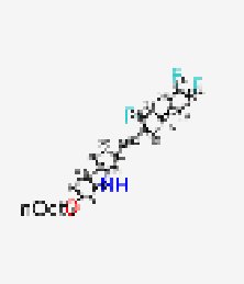 CCCCCCCCOc1ccc2c(c1)[nH]c1cc(C#Cc3ccc(-c4ccc(F)c(F)c4)cc3F)ccc12